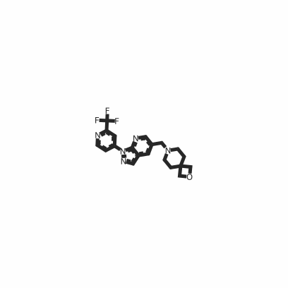 FC(F)(F)c1cc(-n2ncc3cc(CN4CCC5(CC4)COC5)cnc32)ccn1